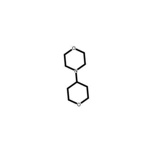 C1CC(N2CCOCC2)CCO1